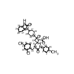 Cc1ccc(N2CC(CC(=O)O)(CC(=O)N3CCC(n4c(=O)[nH]c5ccccc54)CC3)CN(Cc3ccc(Cl)cc3Cl)C2=O)cc1